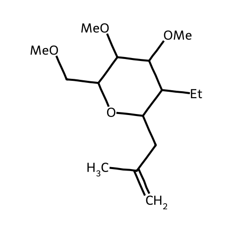 C=C(C)CC1OC(COC)C(OC)C(OC)C1CC